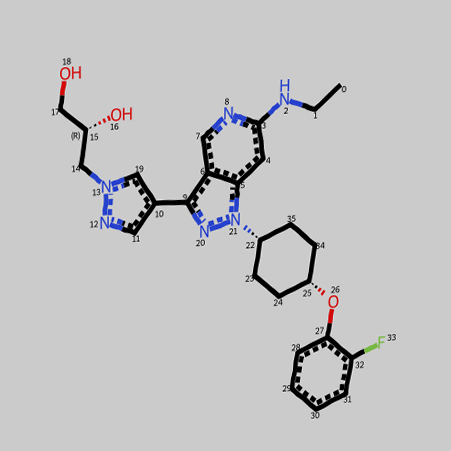 CCNc1cc2c(cn1)c(-c1cnn(C[C@@H](O)CO)c1)nn2[C@H]1CC[C@@H](Oc2ccccc2F)CC1